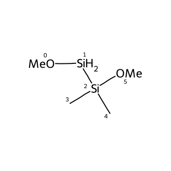 CO[SiH2][Si](C)(C)OC